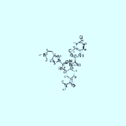 CN1CCc2nc(C(=O)N[C@@H]3C[C@@H](C(=O)N(C)C)CC[C@@H]3NC(=O)C(=O)Nc3ccc(Cl)cc3Cl)sc2C1